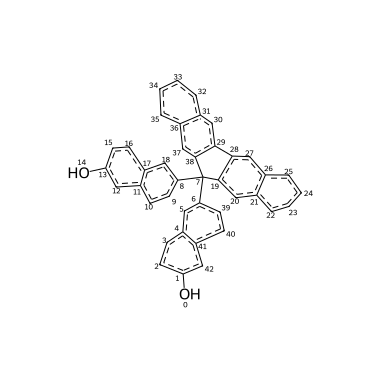 Oc1ccc2cc(C3(c4ccc5cc(O)ccc5c4)c4cc5ccccc5cc4-c4cc5ccccc5cc43)ccc2c1